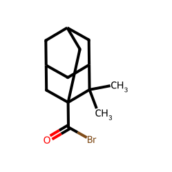 CC1(C)C2CC3CC(C2)CC1(C(=O)Br)C3